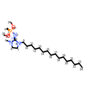 C=P(/N=C1\N(C)CCN1CCCCCCCCCCCCCCCC)(OC)OC